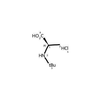 C[C@@H](NC(C)(C)C)C(=O)O.Cl